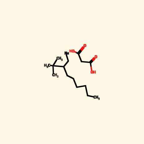 CCCCCCC([CH2][Na])C(C)(C)C.O=C(O)CC(=O)O